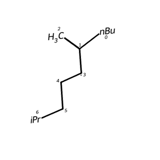 CCCCC(C)[CH]CCC(C)C